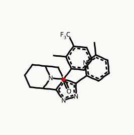 Cc1cccc(-c2nnc3n2CC2CCCC3N2C(=O)c2cccc(C(F)(F)F)c2C)n1